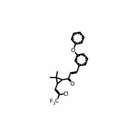 CC1(C)C(C=C(Cl)C(F)(F)F)C1C(=O)C=Cc1cccc(Oc2ccccc2)c1